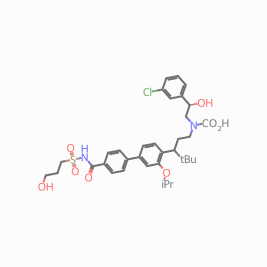 CC(C)Oc1cc(-c2ccc(C(=O)NS(=O)(=O)CCCO)cc2)ccc1C(CCN(C[C@H](O)c1cccc(Cl)c1)C(=O)O)C(C)(C)C